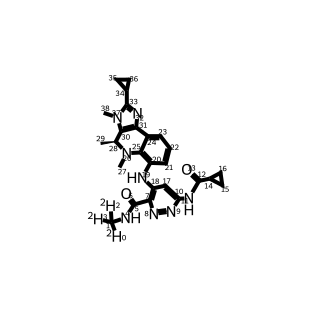 [2H]C([2H])([2H])NC(=O)c1nnc(NC(=O)C2CC2)cc1Nc1cccc2c1N(C)[C@@H](C)c1c-2nc(C2CC2)n1C